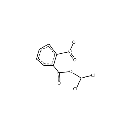 O=C(OC(Cl)Cl)c1ccccc1[N+](=O)[O-]